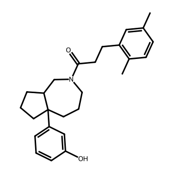 Cc1ccc(C)c(CCC(=O)N2CCCC3(c4cccc(O)c4)CCCC3C2)c1